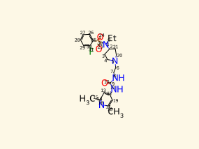 CCN(C1CCN(CCNC(=O)Nc2cc(C)nc(C)c2)CC1)S(=O)(=O)c1ccccc1F